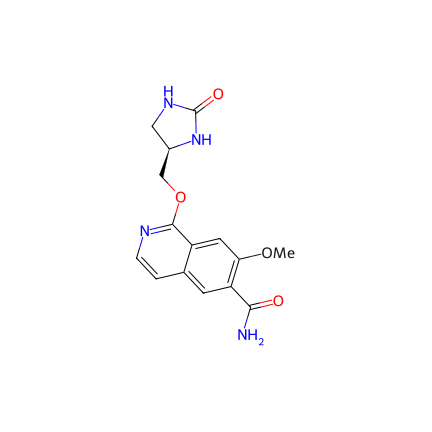 COc1cc2c(OC[C@H]3CNC(=O)N3)nccc2cc1C(N)=O